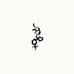 C=C1C=CN(CC2(c3cccc(C(F)(F)F)c3)CCCC2)N=C1C(=C)NCC